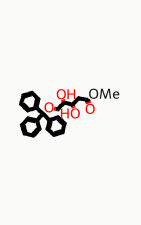 COC(=O)CC(O)C(O)COC(c1ccccc1)(c1ccccc1)c1ccccc1